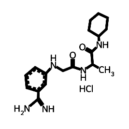 CC(NC(=O)CNc1cccc(C(=N)N)c1)C(=O)NC1CCCCC1.Cl